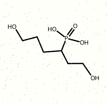 O=P(O)(O)C(CCO)CCCO